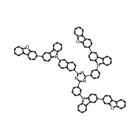 c1cc(-c2nc(-c3cccc(-n4c5ccccc5c5cc(-c6ccc7c(c6)oc6ccccc67)ccc54)c3)nc(-c3ccc4cc(-n5c6ccccc6c6cc(-c7ccc8c(c7)oc7ccccc78)ccc65)ccc4c3)n2)cc(-n2c3ccccc3c3cc(-c4ccc5c(c4)oc4ccccc45)ccc32)c1